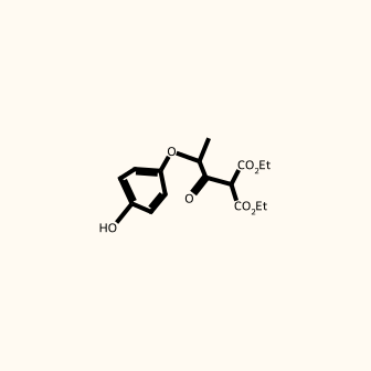 CCOC(=O)C(C(=O)OCC)C(=O)C(C)Oc1ccc(O)cc1